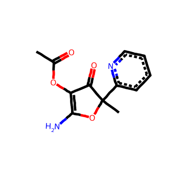 CC(=O)OC1=C(N)OC(C)(c2ccccn2)C1=O